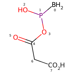 BP(O)OC(=O)CC(=O)O